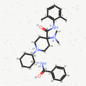 Cc1cccc(C)c1NC(=O)C1(N(C)C)CCN([C@@H]2CCCC[C@H]2NC(=O)c2ccccc2)CC1